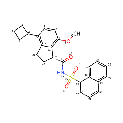 COc1ccc(C2CCC2)c2c1[C@H](C(=O)NS(=O)(=O)c1cccc3ccccc13)CC2